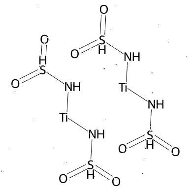 O=[SH](=O)[NH][Ti][NH][SH](=O)=O.O=[SH](=O)[NH][Ti][NH][SH](=O)=O